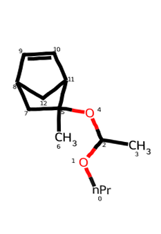 CCCOC(C)OC1(C)CC2C=CC1C2